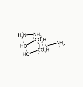 NN.NN.O=C(O)O.O=C(O)O